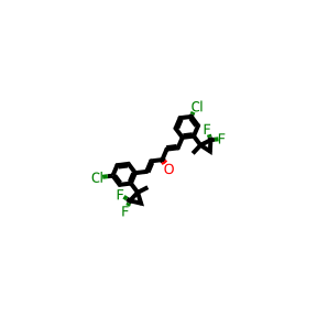 CC1(c2cc(Cl)ccc2C=CC(=O)C=Cc2ccc(Cl)cc2C2(C)CC2(F)F)CC1(F)F